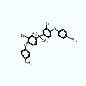 CCc1cc(C(C)(C)c2ccc(Oc3ccc(N)cc3)c(CC)c2)ccc1Oc1ccc(N)cc1